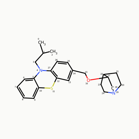 CC(C)CN1c2ccccc2Sc2cc(COC3CN4CCC3CC4)ccc21